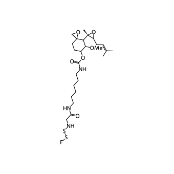 COC1C(OC(=O)NCCCCCCNC(=O)CNSSF)CCC2(CO2)C1[C@]1(C)OC1CC=C(C)C